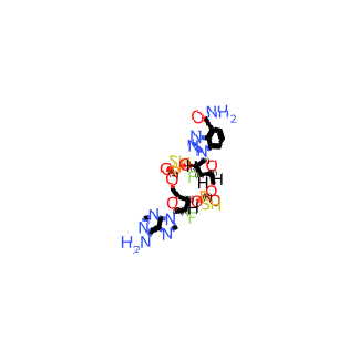 NC(=O)c1cccc2c1nnn2[C@@H]1O[C@@H]2CO[P@@](=O)(S)O[C@@H]3C(CO[P@](=O)(S)O[C@@H]1[C@@H]2F)O[C@@H](n1cnc2c(N)ncnc21)[C@@H]3F